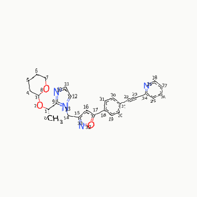 C[C@H](OC1CCCCO1)c1nccn1Cc1cc(-c2ccc(C#Cc3ccccn3)cc2)on1